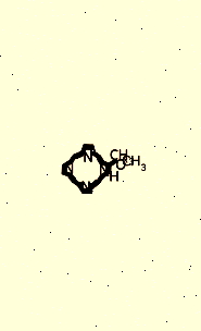 [2H]C1=C(C(C)OC)C2=CC3=NC(=CC4=NC(=CC5=NC(=CC1=N2)C=C5)C=C4)C=C3